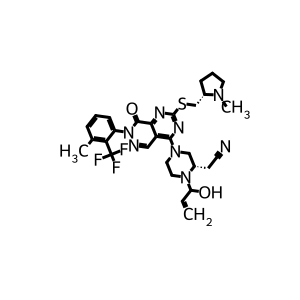 C=CC(O)N1CCN(c2nc(SC[C@@H]3CCCN3C)nc3c(=O)n(-c4cccc(C)c4C(F)(F)F)ncc23)C[C@@H]1CC#N